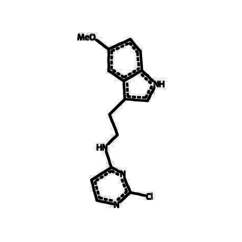 COc1ccc2[nH]cc(CCNc3ccnc(Cl)n3)c2c1